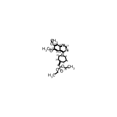 CCOP(=O)(/C=C1\CCCN(c2ncnc3cc(OC)c(OC)cc23)CC1)OCC